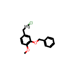 COc1ccc([CH2][Mg][Cl])cc1OCc1ccccc1